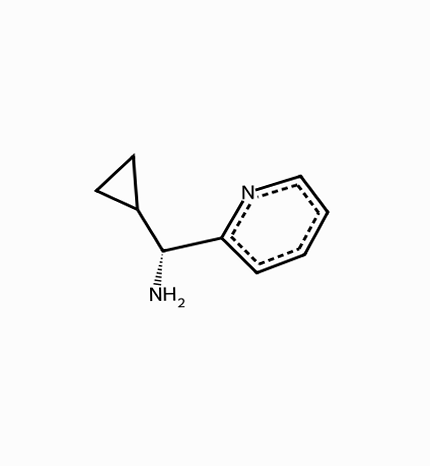 N[C@@H](c1ccccn1)C1CC1